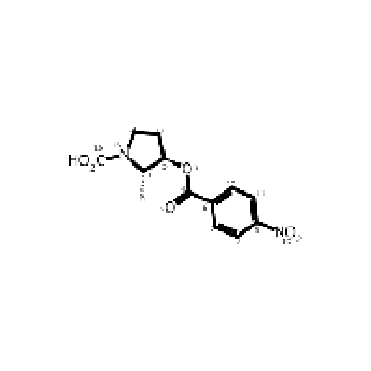 C[C@H]1[C@H](OC(=O)c2ccc([N+](=O)[O-])cc2)CCN1C(=O)O